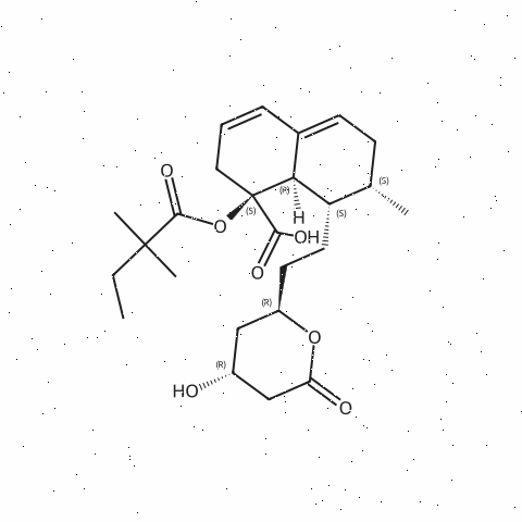 CCC(C)(C)C(=O)O[C@@]1(C(=O)O)CC=CC2=CC[C@H](C)[C@H](CC[C@@H]3C[C@@H](O)CC(=O)O3)[C@H]21